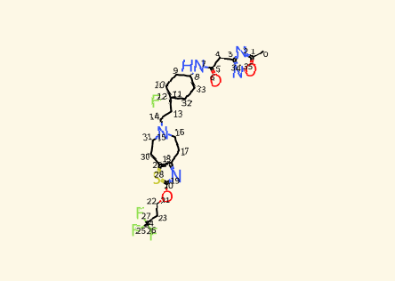 Cc1nc(CC(=O)N[C@H]2CC[C@](F)(CCN3CCc4nc(OCCC(F)(F)F)sc4CC3)CC2)no1